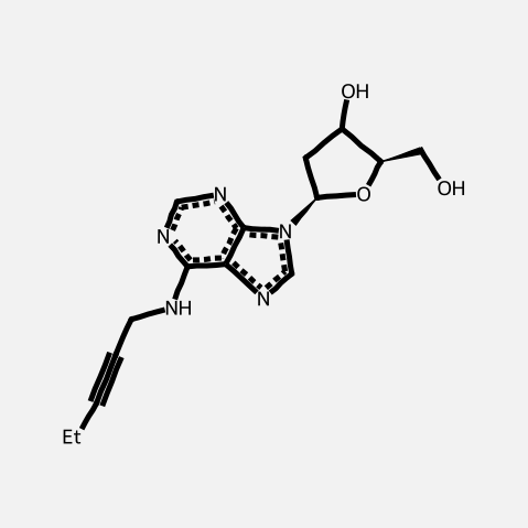 CCC#CCNc1ncnc2c1ncn2[C@H]1CC(O)[C@@H](CO)O1